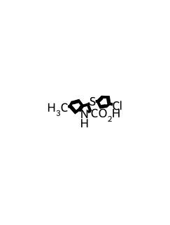 Cc1ccc2c(c1)NC(C(=O)O)C2Sc1ccc(Cl)cc1